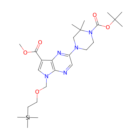 COC(=O)c1cn(COCC[Si](C)(C)C)c2ncc(N3CCN(C(=O)OC(C)(C)C)C(C)(C)C3)nc12